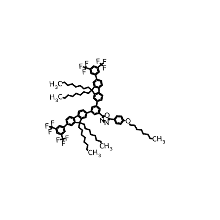 CCCCCCCCOc1ccc(-c2nnc(-c3cc(-c4ccc5c(c4)C(CCCCCCCC)(CCCCCCCC)c4cc(-c6cc(C(F)(F)F)cc(C(F)(F)F)c6)ccc4-5)cc(-c4ccc5c(c4)C(CCCCCCCC)(CCCCCCCC)c4cc(-c6cc(C(F)(F)F)cc(C(F)(F)F)c6)ccc4-5)c3)o2)cc1